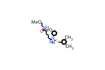 COCCNC(=O)CCCCc1nnc(SCc2cc(C)cc(C)c2)n1-c1cccc(OC)c1